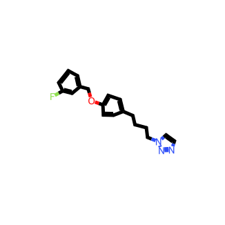 Fc1cccc(COc2ccc(CCCCn3ccnn3)cc2)c1